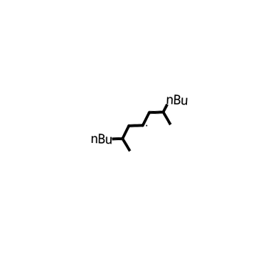 CCCCC(C)C[CH]CC(C)CCCC